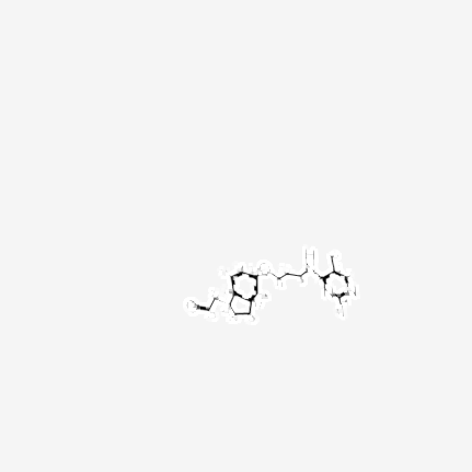 Cc1cnc(I)nc1NCCCOc1ccc2c(c1)CC[C@H]2CC=O